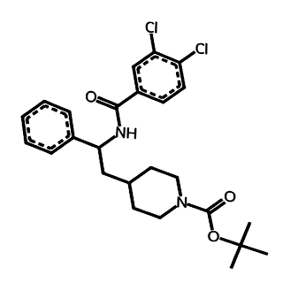 CC(C)(C)OC(=O)N1CCC(CC(NC(=O)c2ccc(Cl)c(Cl)c2)c2ccccc2)CC1